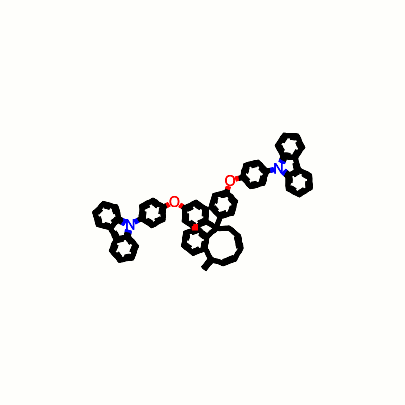 C=C1/C=C\C=C/CC(c2ccc(Oc3ccc(-n4c5ccccc5c5ccccc54)cc3)cc2)(c2ccc(Oc3ccc(-n4c5ccccc5c5ccccc54)cc3)cc2)c2ccccc21